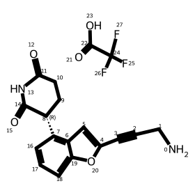 NCC#Cc1cc2c([C@H]3CCC(=O)NC3=O)cccc2o1.O=C(O)C(F)(F)F